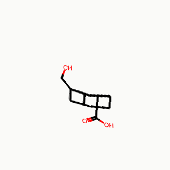 O=C(O)C12C3C4C1C1C2C3C41CO